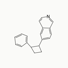 c1ccc(C2CCC2c2ccc3cnccc3c2)cc1